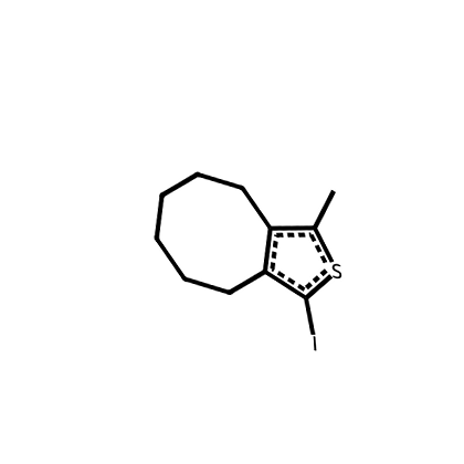 Cc1sc(I)c2c1CCCCCC2